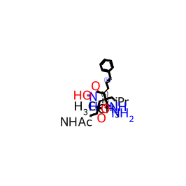 CC(=O)NCC(=O)C(C)(C)C[C@@](CC(C)C)(C(=O)NN)[C@H](C/C=C/c1ccccc1)C(=O)NO